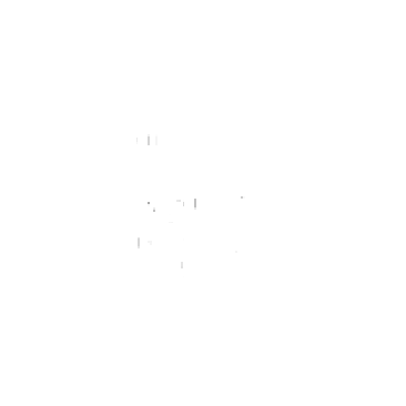 CCCNC(C)(C)C(=O)c1ccccc1